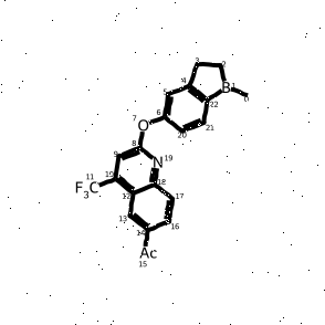 CB1CCc2cc(Oc3cc(C(F)(F)F)c4cc(C(C)=O)ccc4n3)ccc21